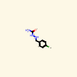 NC(=O)NNCc1ccc(F)cc1